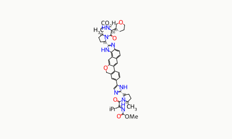 COC(=O)N[C@H](C(=O)N1[C@@H](C)CC[C@H]1c1ncc(-c2ccc3c(c2)COc2cc4c(ccc5nc([C@@H]6CC[C@H](C)N6C(=O)[C@@H](NC(=O)O)[C@H]6CCCOC6)[nH]c54)cc2-3)[nH]1)C(C)C